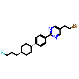 FCCC[C@H]1CC[C@H](c2ccc(-c3ncc(CCBr)cn3)cc2)CC1